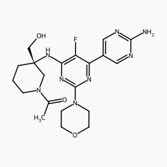 CC(=O)N1CCC[C@](CO)(Nc2nc(N3CCOCC3)nc(-c3cnc(N)nc3)c2F)C1